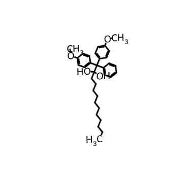 CCCCCCCCCCCC(O)(O)C(c1ccccc1)(c1ccc(OC)cc1)c1ccc(OC)cc1